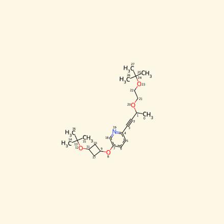 CC(C#Cc1ccc(OC2CC(OC(C)(C)C)C2)cn1)OCCOC(C)(C)C